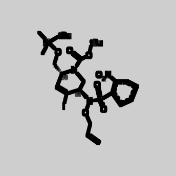 C=CCON([C@@H]1CN(C(=O)OC(C)(C)C)[C@@H](CO[Si](C)(C)C(C)(C)C)C=C1I)S(=O)(=O)c1ccccc1[N+](=O)[O-]